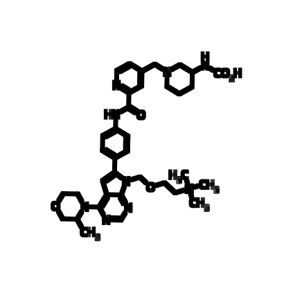 CC1COCCN1c1ncnc2c1cc(-c1ccc(NC(=O)c3cc(CN4CCCC(NC(=O)O)C4)ccn3)cc1)n2COCC[Si](C)(C)C